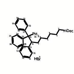 Br.CCCCCCCCCCCCCCCCC(c1ccccc1)C(P)(c1ccccc1)c1ccccc1